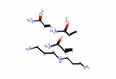 C=CC(N)=O.C=CC(N)=O.C=CC(N)=O.NCCCNCCCN